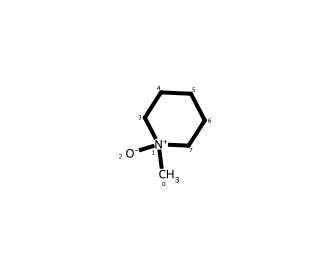 C[N+]1([O-])[CH]CCCC1